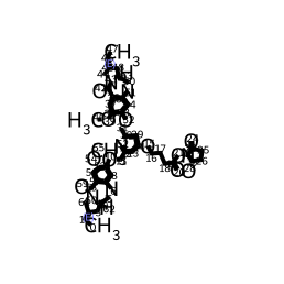 C/C=C1\C[C@H]2C=Nc3cc(OCc4cc(OCCCC(=O)ON5C(=O)CCC5=O)cc(COc5cc6c(cc5OC)C(=O)N5C/C(=C/C)C[C@H]5C=N6)n4)c(OC)cc3C(=O)N2C1